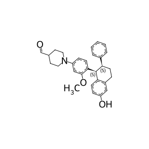 COc1cc(N2CCC(C=O)CC2)ccc1[C@@H]1c2ccc(O)cc2CC[C@@H]1c1ccccc1